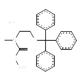 CN(C(=O)OC(C)(C)C)[C@H](C=O)CSC(c1ccccc1)(c1ccccc1)c1ccccc1